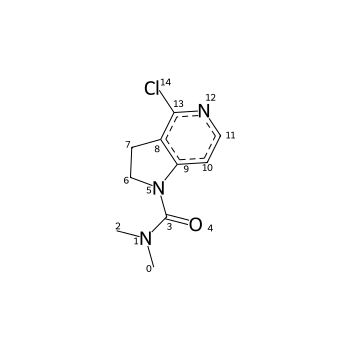 CN(C)C(=O)N1CCc2c1ccnc2Cl